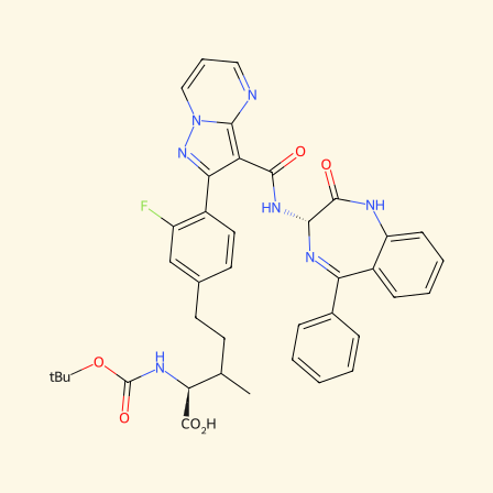 CC(CCc1ccc(-c2nn3cccnc3c2C(=O)N[C@H]2N=C(c3ccccc3)c3ccccc3NC2=O)c(F)c1)[C@H](NC(=O)OC(C)(C)C)C(=O)O